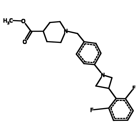 COC(=O)C1CCN(Cc2ccc(N3CC(c4c(F)cccc4F)C3)cc2)CC1